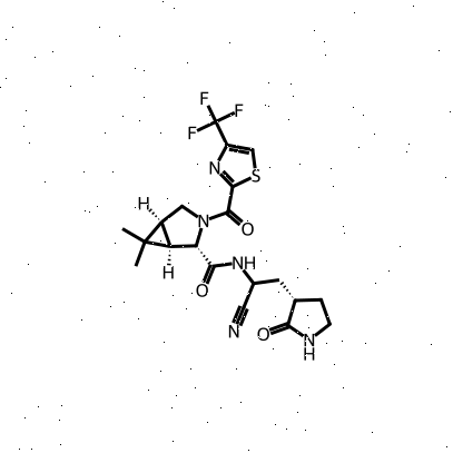 CC1(C)[C@@H]2[C@@H](C(=O)NC(C#N)C[C@@H]3CCNC3=O)N(C(=O)c3nc(C(F)(F)F)cs3)C[C@@H]21